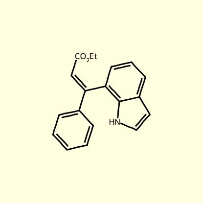 CCOC(=O)/C=C(/c1ccccc1)c1cccc2cc[nH]c12